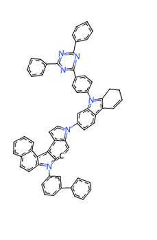 C1=Cc2c(n(-c3ccc(-c4nc(-c5ccccc5)nc(-c5ccccc5)n4)cc3)c3cc(-n4ccc5c6c7c8ccccc8ccc7n(-c7cccc(-c8ccccc8)c7)c6ccc54)ccc23)CC1